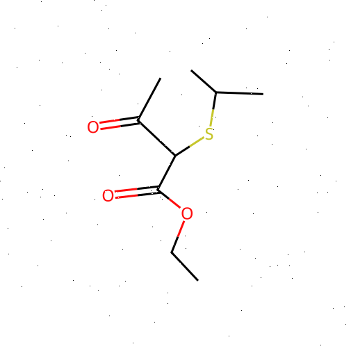 CCOC(=O)C(SC(C)C)C(C)=O